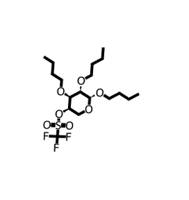 CCCCO[C@@H]1OC[C@@H](OS(=O)(=O)C(F)(F)F)[C@@H](OCCCC)[C@@H]1OCCCC